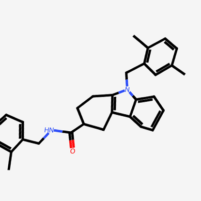 Cc1ccc(C)c(Cn2c3c(c4ccccc42)CC(C(=O)NCc2ccccc2C)CC3)c1